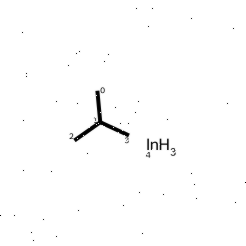 CC(C)C.[InH3]